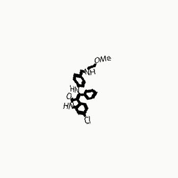 COCCNCc1ccc(N/C(=C2\C(=O)Nc3cc(Cl)ccc32)c2ccccc2)cc1